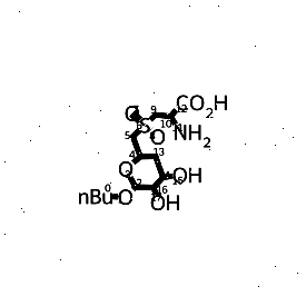 CCCCOC1OC(CS(=O)(=O)CC(N)C(=O)O)CC(O)C1O